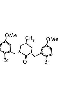 COc1ccc(Br)c(C[C@@H]2CC(C)C[C@@H](Cc3cc(OC)ccc3Br)C2=O)c1